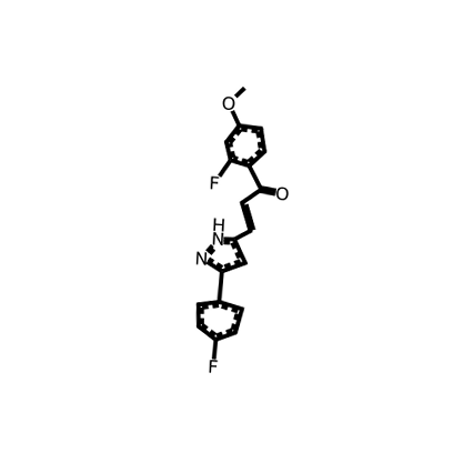 COc1ccc(C(=O)C=Cc2cc(-c3ccc(F)cc3)n[nH]2)c(F)c1